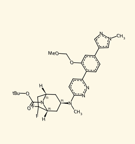 COCOc1cc(-c2cnn(C)c2)ccc1-c1ccc(N(C)[C@@H]2C[C@H]3CC(F)(F)[C@@H](C2)N3C(=O)OC(C)(C)C)nn1